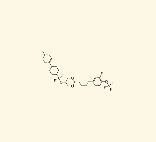 CC1CC=C(C2CCC(C(F)(F)OC3COC(C/C=C\Cc4ccc(OC(F)(F)F)c(F)c4)OC3)CC2)CC1